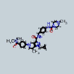 C[C@H]1CN(c2ccc(C(=O)N(C)C)cc2)Cc2c(C(=O)NCc3ccc(NC(=O)N4CCN(C)CC4)cc3)nn(CC3CC3)c21